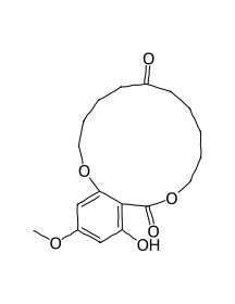 COc1cc(O)c2c(c1)OCCCCC(=O)CCCCCOC2=O